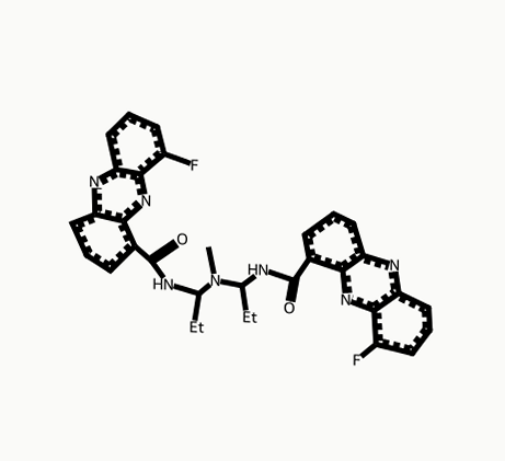 CCC(NC(=O)c1cccc2nc3cccc(F)c3nc12)N(C)C(CC)NC(=O)c1cccc2nc3cccc(F)c3nc12